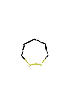 [C]1CCCCSS1